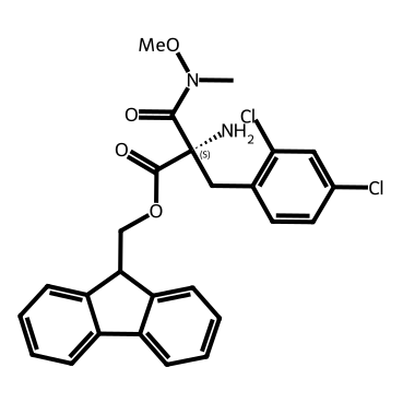 CON(C)C(=O)[C@@](N)(Cc1ccc(Cl)cc1Cl)C(=O)OCC1c2ccccc2-c2ccccc21